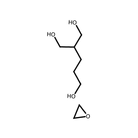 C1CO1.OCCCC(CO)CO